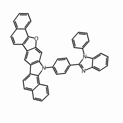 c1ccc(-n2c(-c3ccc(-n4c5cc6oc7c8ccccc8ccc7c6cc5c5ccc6ccccc6c54)cc3)nc3ccccc32)cc1